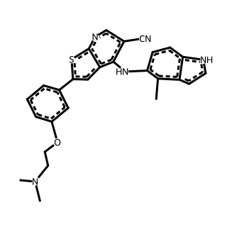 Cc1c(Nc2c(C#N)cnc3sc(-c4cccc(OCCN(C)C)c4)cc23)ccc2[nH]ccc12